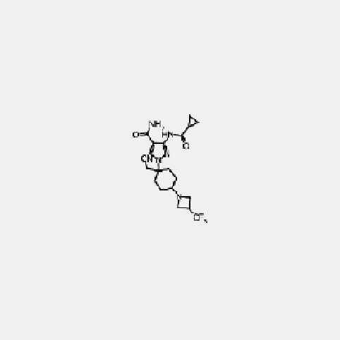 N#CCC1(n2cc(C(N)=O)c(NC(=O)C3CC3)n2)CCC(N2CC(C(F)(F)F)C2)CC1